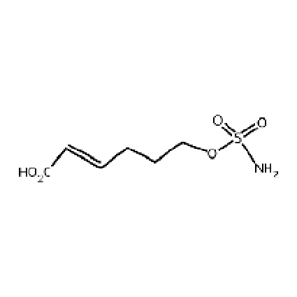 NS(=O)(=O)OCCCC=CC(=O)O